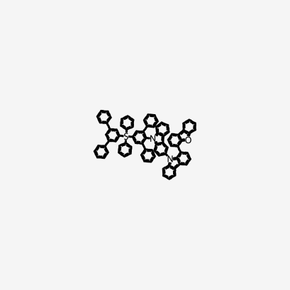 c1ccc(-c2cc(-c3ccccc3)cc(S(c3ccccc3)(c3ccccc3)c3cc(-c4ccccc4)c(-n4c5ccccc5c5cc(-n6c7ccccc7c7cccc(-c8cccc9c8oc8ccccc89)c76)ccc54)c(-c4ccccc4)c3)c2)cc1